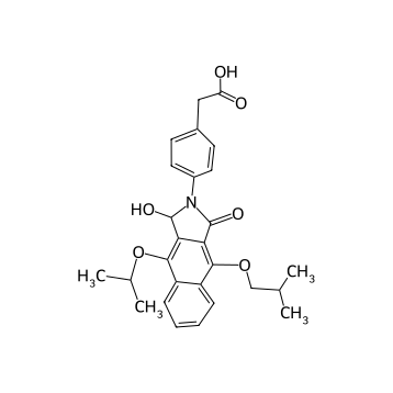 CC(C)COc1c2c(c(OC(C)C)c3ccccc13)C(O)N(c1ccc(CC(=O)O)cc1)C2=O